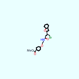 COC(=O)c1ccc(OCCNC(=O)C=C(CBr)c2cc3ccccc3o2)cc1